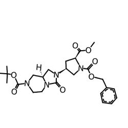 COC(=O)[C@@H]1C[C@H](N2C[C@@H]3CN(C(=O)OC(C)(C)C)CCN3C2=O)CN1C(=O)OCc1ccccc1